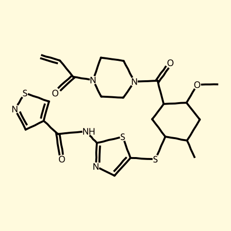 C=CC(=O)N1CCN(C(=O)C2CC(Sc3cnc(NC(=O)c4cnsc4)s3)C(C)CC2OC)CC1